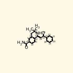 CC1(C)Cc2cc(C(N)=O)ccc2/C(=C/C(=O)c2ccccc2)N1